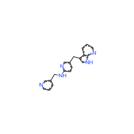 c1cncc(CNc2ccc(Cc3c[nH]c4ncccc34)cn2)c1